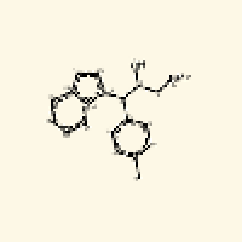 CNCC(O)C(c1ccc(C)cc1)n1ccc2ccccc21